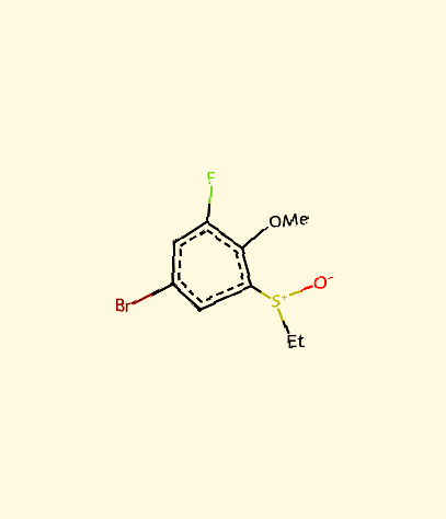 CC[S+]([O-])c1cc(Br)cc(F)c1OC